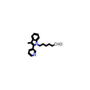 Cc1c(-c2cccnc2)n(CCCCCC=O)c2ccccc12